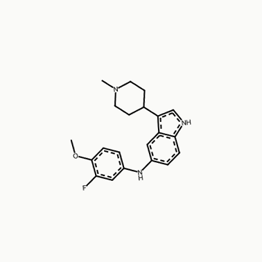 COc1ccc(Nc2ccc3[nH]cc(C4CCN(C)CC4)c3c2)cc1F